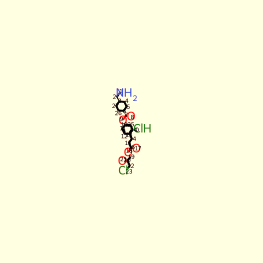 Cl.NC[C@H]1CC[C@H](C(=O)Oc2ccc(CCC(=O)OCC(=O)CCl)cc2)CC1